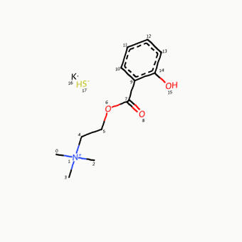 C[N+](C)(C)CCOC(=O)c1ccccc1O.[K].[SH-]